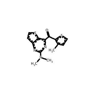 Cc1ccsc1C(=O)c1nc(N(C)C)nc2ccsc12